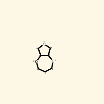 C1COC2COCC2OC1